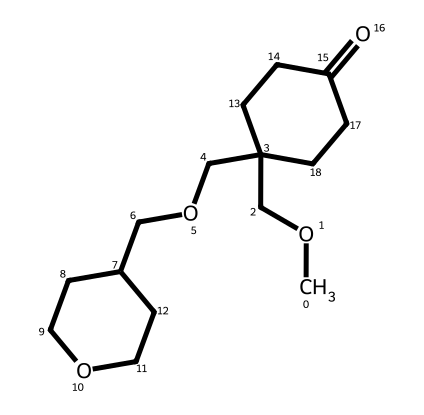 COCC1(COCC2CCOCC2)CCC(=O)CC1